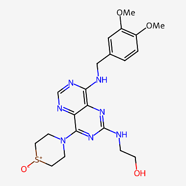 COc1ccc(CNc2ncnc3c(N4CC[S+]([O-])CC4)nc(NCCO)nc23)cc1OC